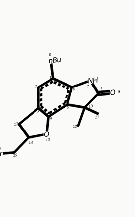 CCCCc1cc2c(c3c1NC(=O)C3(C)C)OC(CBr)C2